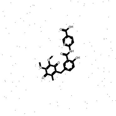 COC1=C(OC)C(=O)C(Cc2ccc(O)c(C(=O)Nc3ccc(C(=O)O)cn3)c2)=C(C)C1=O